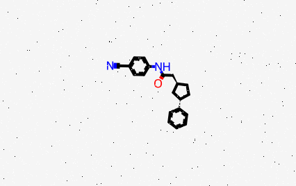 N#Cc1ccc(NC(=O)C[C@H]2CC[C@H](c3ccccc3)C2)cc1